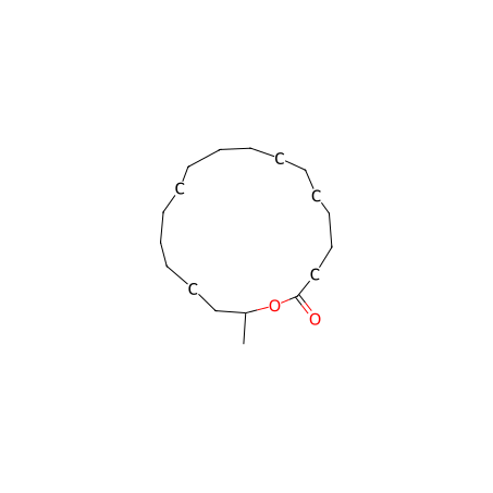 CC1CCCCCCCCCCCCCCCC(=O)O1